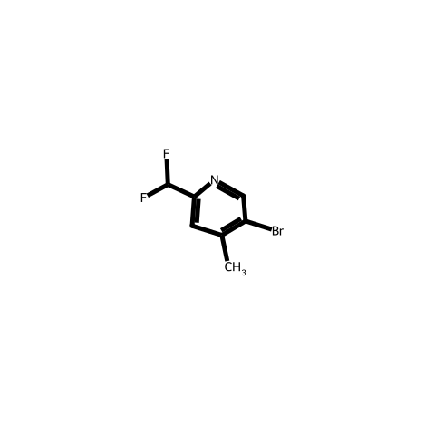 Cc1cc(C(F)F)ncc1Br